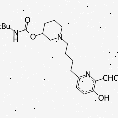 CC(C)(C)NC(=O)OC1CCCN(CCCCc2ccc(O)c(C=O)n2)C1